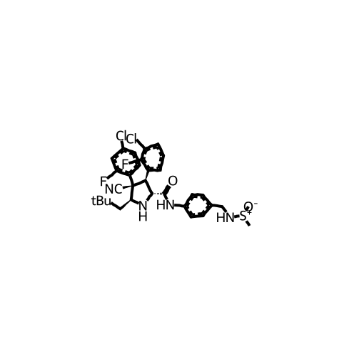 C[S+]([O-])NCc1ccc(NC(=O)[C@@H]2N[C@@H](CC(C)(C)C)[C@](C#N)(c3ccc(Cl)cc3F)[C@H]2c2cccc(Cl)c2F)cc1